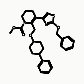 COC(=O)N1CCCC(c2csc(OCc3ccccc3)n2)=C1COC1CCC(c2ccccc2)CC1